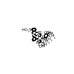 CC(C)C[C@@H](CN1CCCC1)N(Cc1cccc(CN2O[C@@H](CO)[C@@H]([C@H](C)O)[C@H]2C(=O)N[C@H]2C[C@@H](C)C(C)(C)[C@@H](C)[C@@H]2C)c1)Cc1ccccc1S(=O)(=O)O